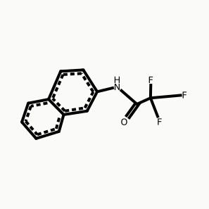 O=C(Nc1ccc2ccccc2c1)C(F)(F)F